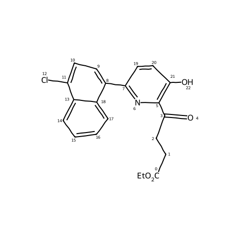 CCOC(=O)CCC(=O)c1nc(-c2ccc(Cl)c3ccccc23)ccc1O